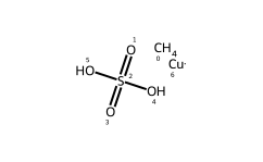 C.O=S(=O)(O)O.[Cu]